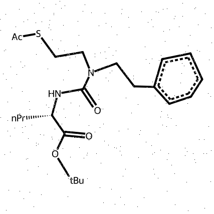 CCC[C@H](NC(=O)N(CCSC(C)=O)CCc1ccccc1)C(=O)OC(C)(C)C